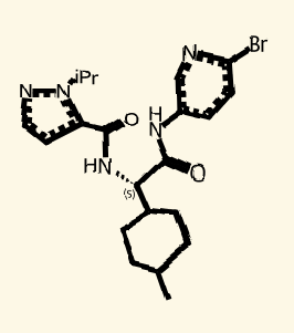 CC1CCC([C@H](NC(=O)c2ccnn2C(C)C)C(=O)Nc2ccc(Br)nc2)CC1